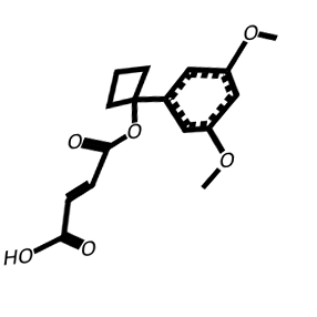 COc1cc(OC)cc(C2(OC(=O)/C=C/C(=O)O)CCC2)c1